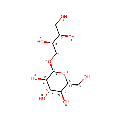 OC[C@@H](O)[C@H](O)CO[C@H]1O[C@H](CO)[C@@H](O)[C@H](O)[C@H]1O